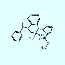 COC(=O)c1cncn1[C@H]1c2ccccc2[C@H](Nc2ccccc2)CC1(C)C